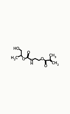 C=C(C)C(=O)OCCNC(=O)OC(C)CO